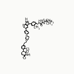 Cc1cc(-c2n[nH]c3ncc(-c4ccc(N5CCN(CCc6ccc(C7CCC(=O)NC7=O)c(Cl)c6)CC5)cc4)cc23)ccc1CNC(=O)c1noc(C(C)(C)C)n1